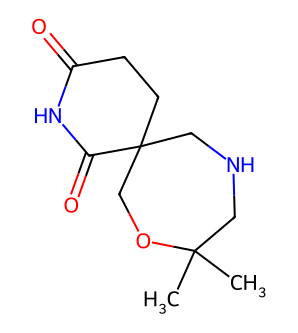 CC1(C)CNCC2(CCC(=O)NC2=O)CO1